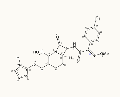 CO/N=C(/C(=O)NC1C(=O)N2C(C(=O)O)=C(CSc3nnnn3C)CS[C@H]12)c1ccc(O)cc1